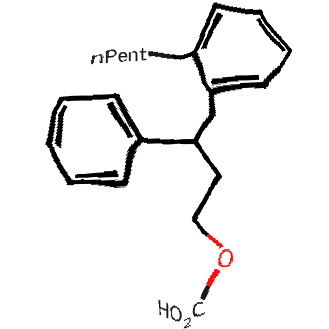 CCCCCc1ccccc1C(CCOC(=O)O)c1ccccc1